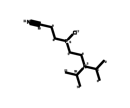 CC(C)N(CCP(Cl)CCC#N)C(C)C